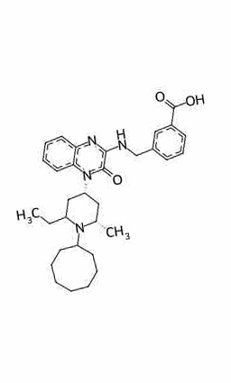 CCC1C[C@H](n2c(=O)c(NCc3cccc(C(=O)O)c3)nc3ccccc32)C[C@H](C)N1C1CCCCCCC1